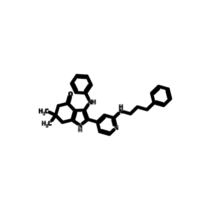 CC1(C)CC(=O)c2c([nH]c(-c3ccnc(NCCCc4ccccc4)c3)c2Nc2ccccc2)C1